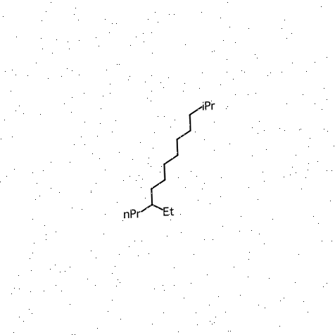 CCCC(CC)CCCCCCCC(C)C